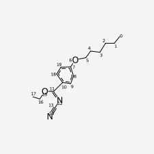 CCCCCCOc1ccc(/C(=N/C#N)OCC)cc1